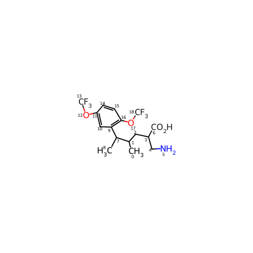 CC(CC(CN)C(=O)O)C(C)c1cc(OC(F)(F)F)ccc1OC(F)(F)F